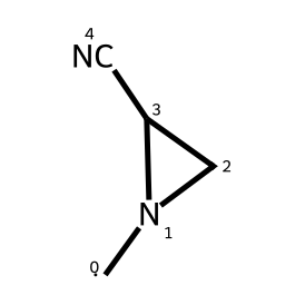 [CH2]N1CC1C#N